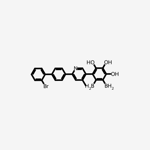 Bc1c(B)c(-c2cnc(-c3ccc(-c4ccccc4Br)cc3)cc2C)c(O)c(O)c1O